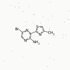 Cc1csc(-c2nc(Br)cnc2N)n1